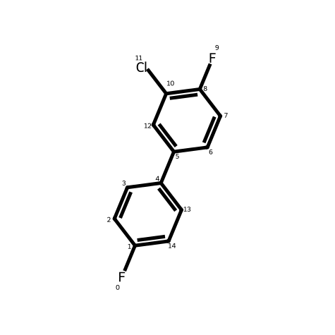 Fc1ccc(-c2ccc(F)c(Cl)c2)cc1